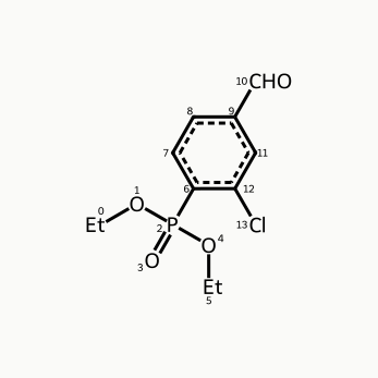 CCOP(=O)(OCC)c1ccc(C=O)cc1Cl